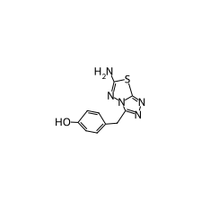 Nc1nn2c(Cc3ccc(O)cc3)nnc2s1